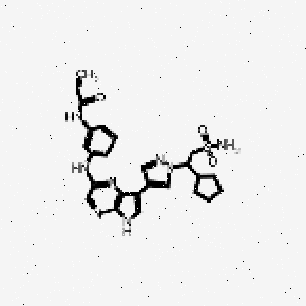 C=CC(=O)Nc1cccc(Nc2cnc3[nH]cc(-c4cnn(C(CS(N)(=O)=O)C5CCCC5)c4)c3n2)c1